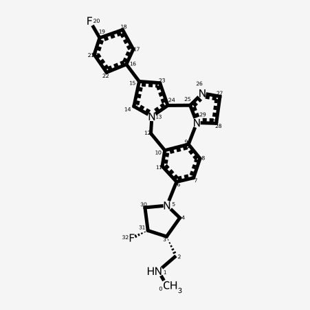 CNC[C@H]1CN(c2ccc3c(c2)Cn2cc(-c4ccc(F)cc4)cc2-c2nccn2-3)C[C@H]1F